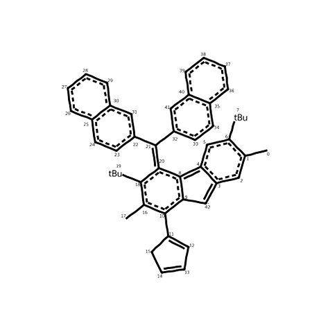 Cc1cc2c(cc1C(C)(C)C)=c1c(c(C3=CC=CC3)c(C)c(C(C)(C)C)c1=C(c1ccc3ccccc3c1)c1ccc3ccccc3c1)[C]=2